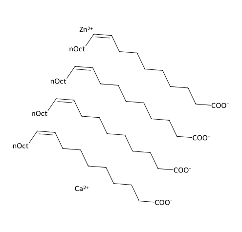 CCCCCCCC/C=C\CCCCCCCC(=O)[O-].CCCCCCCC/C=C\CCCCCCCC(=O)[O-].CCCCCCCC/C=C\CCCCCCCC(=O)[O-].CCCCCCCC/C=C\CCCCCCCC(=O)[O-].[Ca+2].[Zn+2]